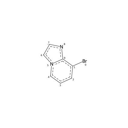 Brc1cccn2c[c]nc12